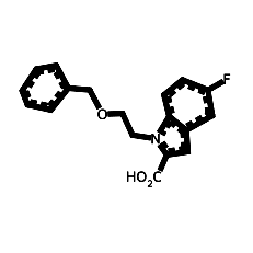 O=C(O)c1cc2cc(F)ccc2n1CCOCc1ccccc1